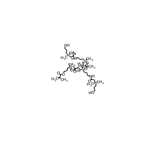 C=C(C)C(=O)OCCC[N+](C)(C)CC(=O)NC[Si](C)(CCCNC(=O)C[N+](C)(C)CCCO)O[Si](C)(C)O[Si](C)(C)CCCNC(=O)C[N+](C)(C)CCCO